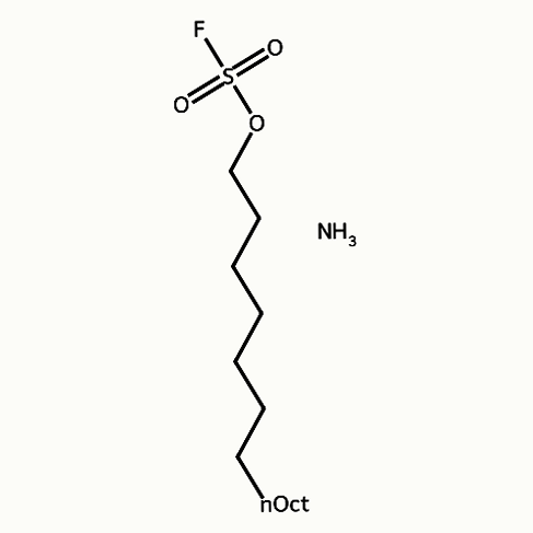 CCCCCCCCCCCCCCCOS(=O)(=O)F.N